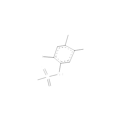 Cc1cc(NS(C)(=O)=O)c(I)cc1F